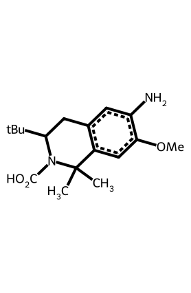 COc1cc2c(cc1N)CC(C(C)(C)C)N(C(=O)O)C2(C)C